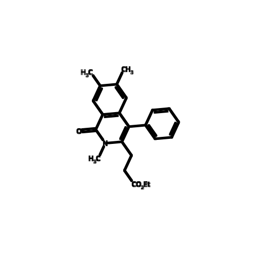 CCOC(=O)CCc1c(-c2ccccc2)c2cc(C)c(C)cc2c(=O)n1C